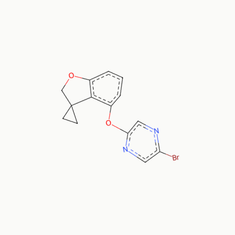 Brc1cnc(Oc2cccc3c2C2(CC2)CO3)cn1